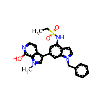 CCS(=O)(=O)Nc1cc(-c2cn(C)c3c(O)nccc23)cc2c1ccn2Cc1ccccc1